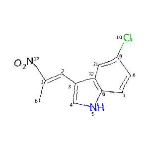 CC(=Cc1c[nH]c2ccc(Cl)cc12)[N+](=O)[O-]